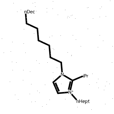 CCCCCCCCCCCCCCCCn1cc[n+](CCCCCCC)c1C(C)C